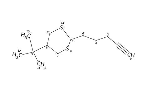 C#CCCCC1SCC(C(C)(C)C)CS1